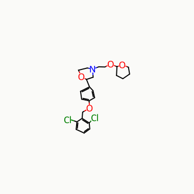 Clc1cccc(Cl)c1COc1ccc(C2CN(CCOC3CCCCO3)CCO2)cc1